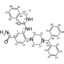 C[C@H](NC(=O)Nc1cc(C(N)=O)ccc1N1CCN(C(c2ccccc2)c2ccccc2)CC1)c1ccccc1